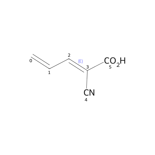 C=C/C=C(\C#N)C(=O)O